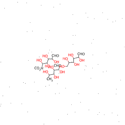 CC(O)C(O)C(O)C(O)C=O.O=CC(O)C(O)C(O)C(O)C(=O)O.O=CC(O)C(O)C(O)C(O)CO